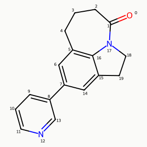 O=C1CCCc2cc(-c3cccnc3)cc3c2N1CC3